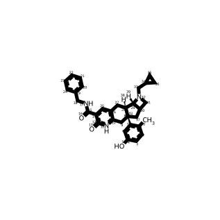 Cc1ccc(O)cc1[C@@]12Cc3[nH]c(=O)c(C(=O)NCc4ccccc4)cc3C[C@H]1[C@H]1C(CN1CC1CC1)C2